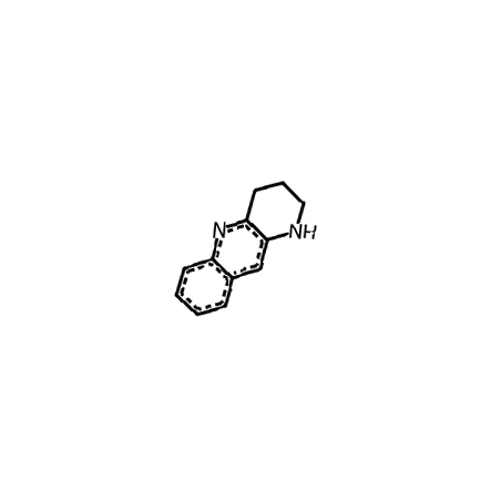 c1ccc2nc3c(cc2c1)NCCC3